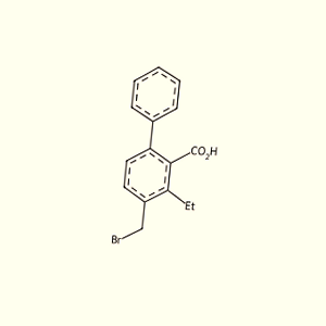 CCc1c(CBr)ccc(-c2ccccc2)c1C(=O)O